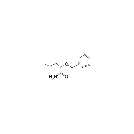 CCCC(OCc1ccccc1)C(N)=O